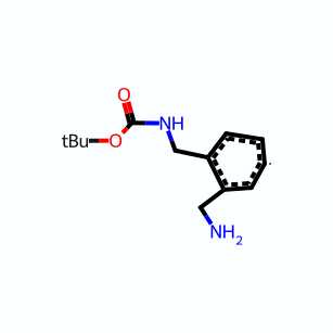 CC(C)(C)OC(=O)NCc1cc[c]cc1CN